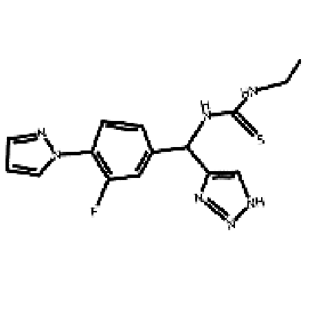 CCNC(=S)NC(c1ccc(-n2cccn2)c(F)c1)c1c[nH]nn1